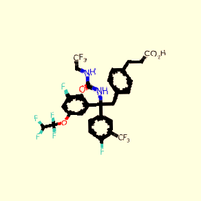 O=C(O)CCc1ccc(CC(NC(=O)NCC(F)(F)F)(c2cc(F)cc(OC(F)(F)C(F)F)c2)c2ccc(F)c(C(F)(F)F)c2)cc1